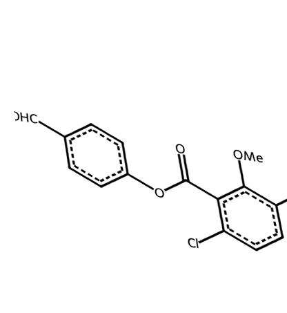 COc1c(Cl)ccc(Cl)c1C(=O)Oc1ccc(C=O)cc1